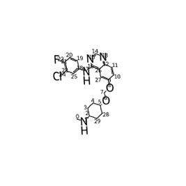 CN[C@H]1CC[C@H](OCOc2ccc3ncnc(Nc4ccc(F)c(Cl)c4)c3c2)CC1